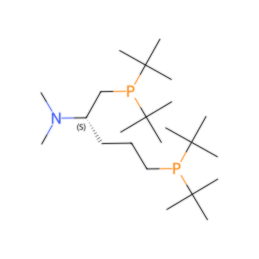 CN(C)[C@@H](CCCP(C(C)(C)C)C(C)(C)C)CP(C(C)(C)C)C(C)(C)C